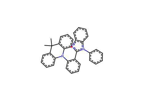 CC1(C)c2ccccc2N(c2ccccc2-c2nc3ccccc3n2-c2ccccc2)c2ccccc21